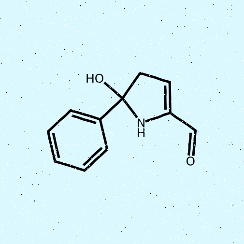 O=CC1=CCC(O)(c2ccccc2)N1